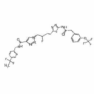 CC(F)(F)c1ccc(CNC(=O)c2cn(CC(F)CCc3nnc(NC(=O)Cc4cccc(OC(F)(F)F)c4)s3)nn2)nc1